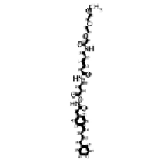 COCCOCCOCC(=O)NCCCCCC(=O)NCCCC(=O)ONC(=O)Cc1ccc(CCCCc2ccccc2)cc1